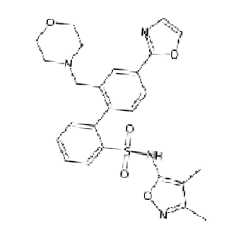 Cc1noc(NS(=O)(=O)c2ccccc2-c2ccc(-c3ncco3)cc2CN2CCOCC2)c1C